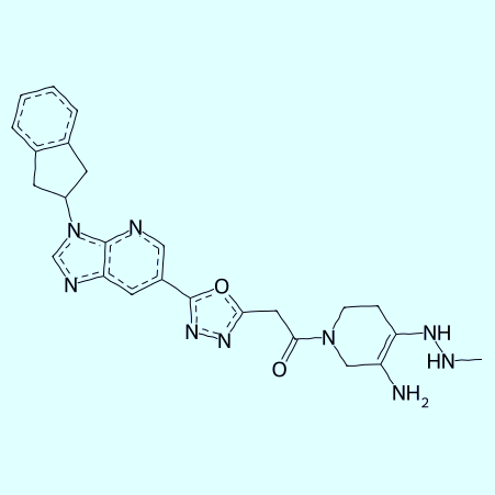 CNNC1=C(N)CN(C(=O)Cc2nnc(-c3cnc4c(c3)ncn4C3Cc4ccccc4C3)o2)CC1